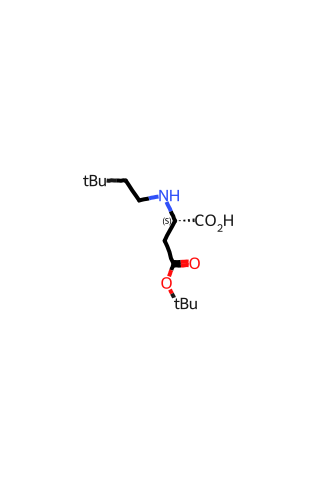 CC(C)(C)CCN[C@@H](CC(=O)OC(C)(C)C)C(=O)O